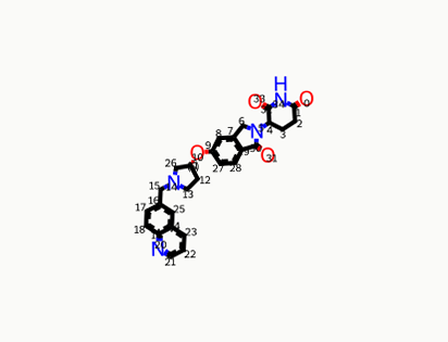 O=C1CCC(N2Cc3cc(O[C@H]4CCN(Cc5ccc6ncccc6c5)C4)ccc3C2=O)C(=O)N1